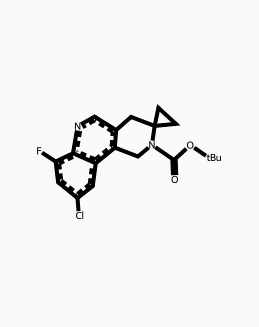 CC(C)(C)OC(=O)N1Cc2c(cnc3c(F)cc(Cl)cc23)CC12CC2